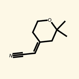 CC1(C)CC(=CC#N)CCO1